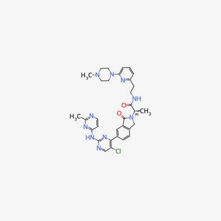 Cc1nccc(Nc2ncc(Cl)c(-c3ccc4c(c3)C(=O)N([C@H](C)C(=O)NCCc3cccc(N5CCN(C)CC5)n3)C4)n2)n1